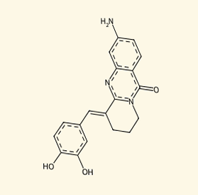 Nc1ccc2c(=O)n3c(nc2c1)C(=Cc1ccc(O)c(O)c1)CCC3